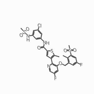 Cc1sc(C(=O)Nc2cc(Cl)cc(NS(C)(=O)=O)c2)cc1-c1ncc(F)cc1OCc1cc(F)cc(S(C)(=O)=O)c1C